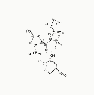 C#Cc1ccc(CNC(=O)[C@@H]2C[C@@H](O)CN2C(=O)[C@@H](NC(=O)C2(F)CC2)C(C)(C)C)c(O)c1